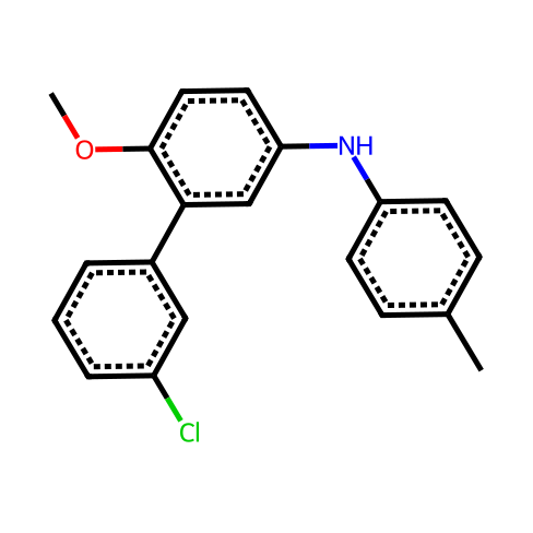 COc1ccc(Nc2ccc(C)cc2)cc1-c1cccc(Cl)c1